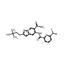 CC(C)(O)CCc1cc2cc(NC(=O)c3cccc(C(F)F)n3)c(C(N)=O)cn2n1